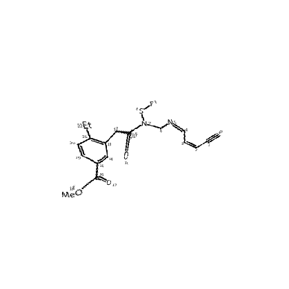 C#C/C=C\C=N/CN(SF)C(=O)Cc1cc(C(=O)OC)ccc1CC